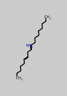 CCCCCC=CCC=CCCCCCCCC.N